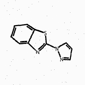 c1ccc2sc(-n3cccn3)nc2c1